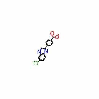 COC(=O)c1ccc(-c2cnc3cc(Cl)ccc3n2)cc1